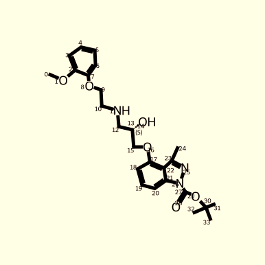 COc1ccccc1OCCNC[C@H](O)COc1cccc2c1c(C)nn2C(=O)OC(C)(C)C